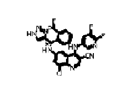 N#Cc1cnc2c(Cl)cc(N[C@H](c3c[nH]nn3)c3ccccc3C(F)F)cc2c1Nc1cnc(F)c(F)c1